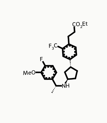 CCOC(=O)CCc1ccc([C@@H]2CC[C@@H](N[C@H](C)c3ccc(F)c(OC)c3)C2)cc1C(F)(F)F